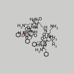 CC(C)C[C@@H](NC(=O)[C@@H](Cc1ccccc1)NC(=O)[C@H](N)Cc1ccccc1)C(=O)N[C@H](CCCN)C(=O)NCCCC[C@H](NC(=O)[C@@H](CCCN)NC(=O)[C@@H](CC(C)C)NC(=O)[C@@H](Cc1ccccc1)NC(=O)[C@H](N)Cc1ccccc1)C(N)=O